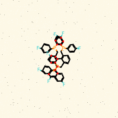 Fc1ccc(P(Cc2cccc(CP(c3ccc(F)cc3)c3ccc(F)cc3)c2-c2c(CP(c3ccc(F)cc3)c3ccc(F)cc3)cccc2CP(c2ccc(F)cc2)c2ccc(F)cc2)c2ccc(F)cc2)cc1